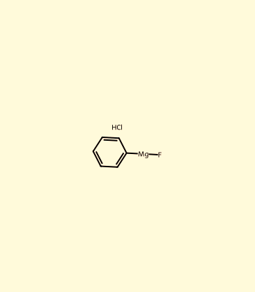 Cl.[F][Mg][c]1ccccc1